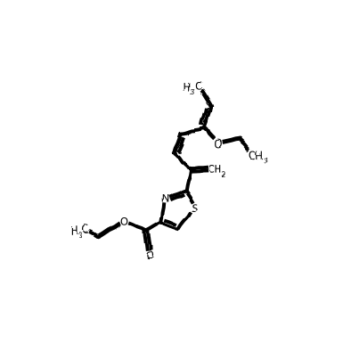 C=C(/C=C\C(=C/C)OCC)c1nc(C(=O)OCC)cs1